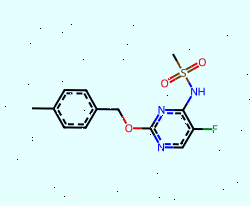 Cc1ccc(COc2ncc(F)c(NS(C)(=O)=O)n2)cc1